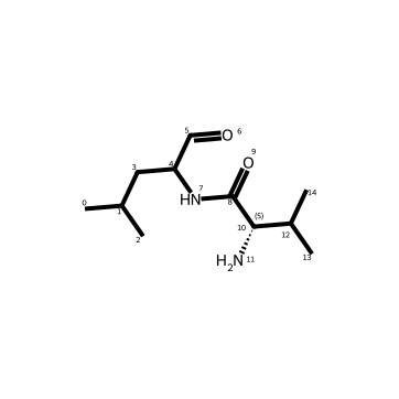 CC(C)CC(C=O)NC(=O)[C@@H](N)C(C)C